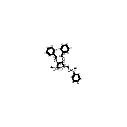 CO[C@@H]1O[C@H](CON(C)c2ccccc2)C(OCc2ccccc2)[C@@H]1OCc1ccccc1